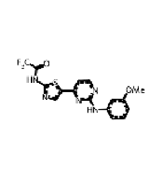 COc1cccc(Nc2nccc(-c3cnc(NC(=O)C(F)(F)F)s3)n2)c1